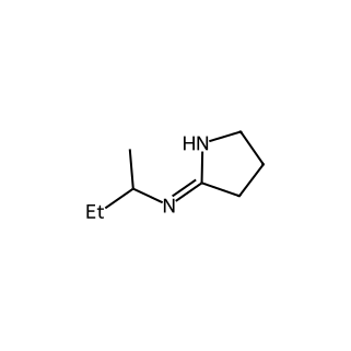 CCC(C)N=C1CCCN1